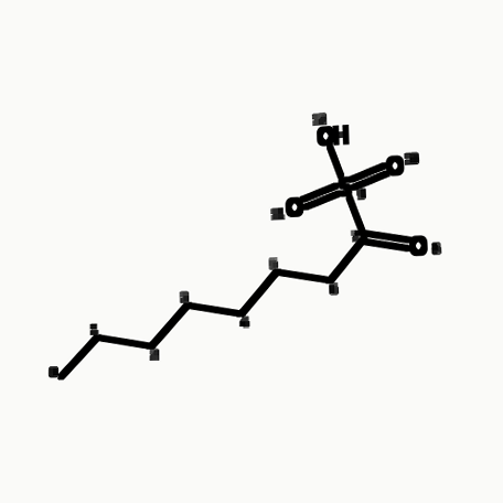 CCCCCCCC(=O)S(=O)(=O)O